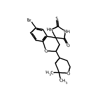 CC1(C)CC(C2CC3(NC(=S)NC3=O)c3cc(Br)ccc3O2)CCO1